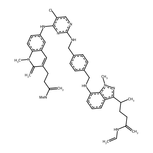 C=CNC(=C)CCC(C)c1nn(C)c2c(NCc3ccc(CNc4ncc(Cl)c(Nc5ccc6c(c5)C=C(CCC(=C)NC)C(=C)N6C)n4)cc3)cccc12